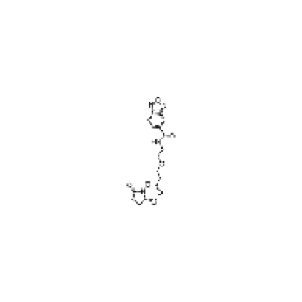 O=C(CCOCCNC(=O)c1ccc2nonc2c1)ON1C(=O)CCC1=O